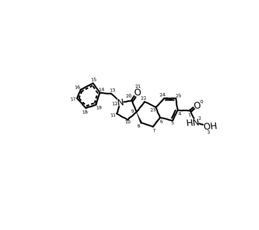 O=C(NO)C1=CC2CC[C@]3(CCN(Cc4ccccc4)C3=O)CC2C=C1